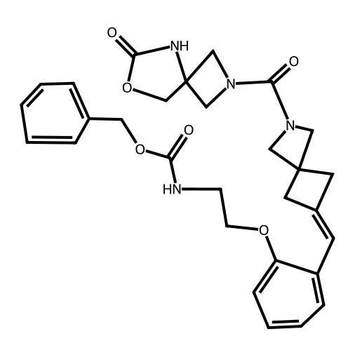 O=C(NCCOc1ccccc1C=C1CC2(C1)CN(C(=O)N1CC3(COC(=O)N3)C1)C2)OCc1ccccc1